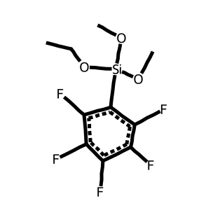 CCO[Si](OC)(OC)c1c(F)c(F)c(F)c(F)c1F